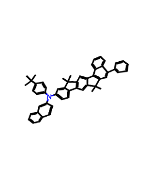 CC(C)(C)c1ccc(N(c2ccc3c(c2)C(C)(C)c2cc4c(cc2-3)C(C)(C)c2cc(-c3ccccc3)c3ccccc3c2-4)c2ccc3ccccc3c2)cc1